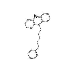 c1ccc(CCCCCc2c3ccccc3nc3ccccc23)cc1